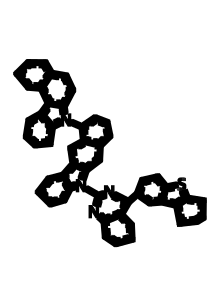 c1cc(-n2c3ccccc3c3c4ccccc4ccc32)c2cc3c4ccccc4n(-c4nc(-c5ccc6sc7ccccc7c6c5)c5ccccc5n4)c3cc2c1